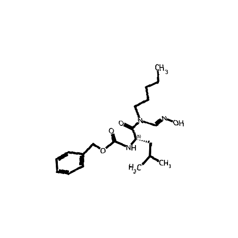 CCCCCN(C=NO)C(=O)[C@H](CC(C)C)NC(=O)OCc1ccccc1